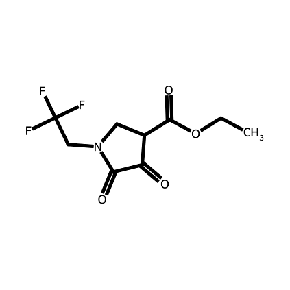 CCOC(=O)C1CN(CC(F)(F)F)C(=O)C1=O